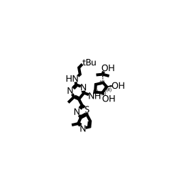 Cc1nc(NCCC(C)(C)C)nc(N[C@@H]2C[C@H](C(C)(C)O)[C@@H](O)[C@H]2O)c1-c1nc2c(C)nccc2s1